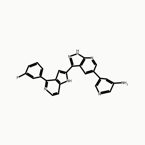 Nc1cncc(-c2cnc3[nH]nc(-c4cc5c(-c6cccc(F)c6)nccc5[nH]4)c3c2)c1